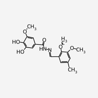 COc1cc(C(=O)N/N=C/c2cc(C)cc(OC)c2OC)cc(O)c1O